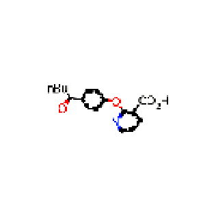 CCCCC(=O)c1ccc(Oc2ncccc2C(=O)O)cc1